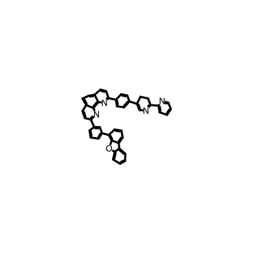 C1=C(c2ccc(-c3ccc4ccc5ccc(-c6cccc(-c7cccc8c7oc7ccccc78)c6)nc5c4n3)cc2)CCC(c2ccccn2)=N1